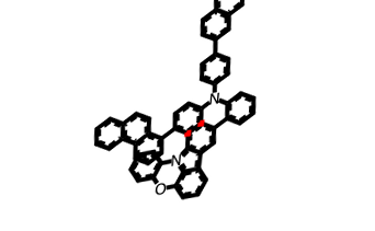 c1ccc2c(c1)Oc1cccc3c4cc(-c5ccccc5N(c5ccc(-c6ccc7ccccc7c6)cc5)c5ccc(-c6cccc7c6ccc6ccccc67)cc5)ccc4n-2c13